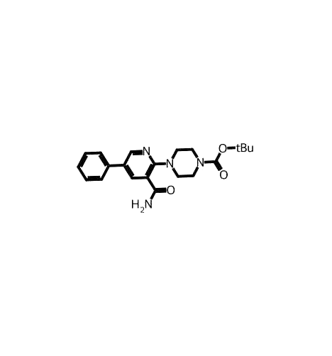 CC(C)(C)OC(=O)N1CCN(c2ncc(-c3ccccc3)cc2C(N)=O)CC1